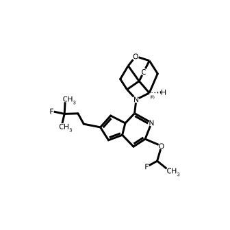 CC(F)OC1=CC2=CC(CCC(C)(C)F)=CC2C(N2C3CC4OC5C[C@@H]2C43C5)=N1